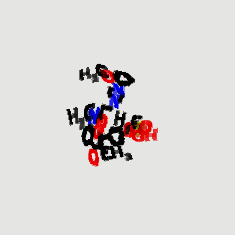 COc1ccccc1N1CCN(CCC(=O)N(C)c2cccc3c(=O)c(C)c(-c4ccccc4)oc23)CC1.CS(=O)(=O)O